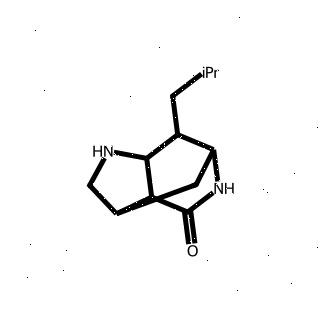 CC(C)CC1C2CC3CNC1C3C(=O)N2